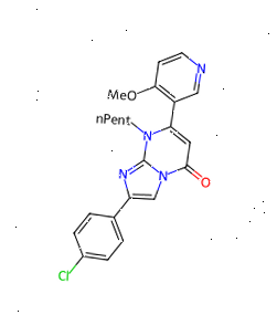 CCCCCn1c(-c2cnccc2OC)cc(=O)n2cc(-c3ccc(Cl)cc3)nc12